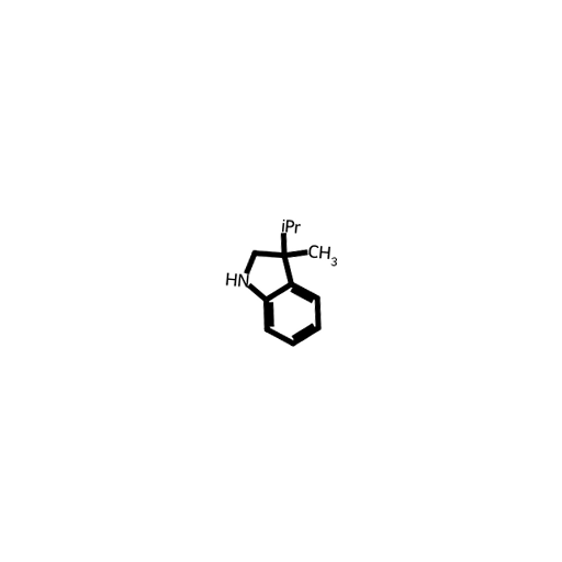 CC(C)C1(C)CNc2ccccc21